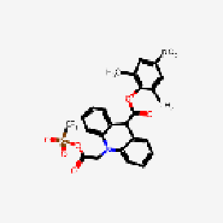 Cc1cc([N+](=O)[O-])cc(C)c1OC(=O)C1c2ccccc2N(CC(=O)OS(=O)(=O)C(F)(F)F)c2ccccc21